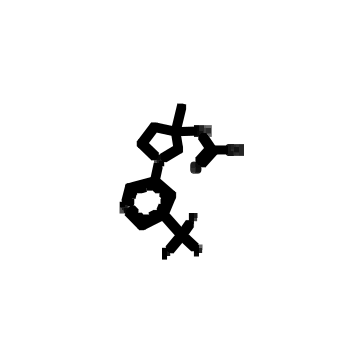 CC1(NC(=O)O)CCN(c2cncc(C(F)(F)F)c2)C1